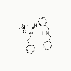 C[Si](C)(C)O[C@H](C#N)CCc1ccccc1.c1ccc(CNCc2ccccc2)cc1